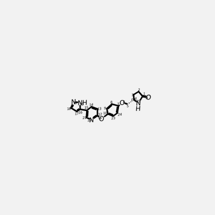 O=C1CC[C@@H](COc2ccc(Oc3ccc(-c4ccn[nH]4)cn3)cc2)N1